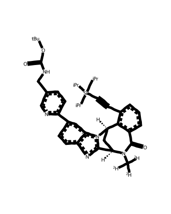 [2H]C([2H])([2H])N1C(=O)c2cccc(C#C[Si](C(C)C)(C(C)C)C(C)C)c2[C@H]2C[C@@H]1c1nc3ccc(-c4ccc(CNC(=O)OC(C)(C)C)cn4)cc3n12